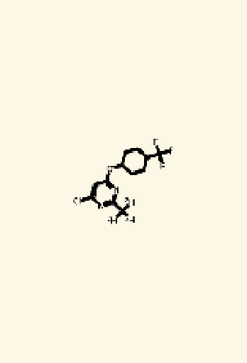 [2H]C([2H])([2H])c1nc(Cl)cc(OC2CCC(C(F)(F)F)CC2)n1